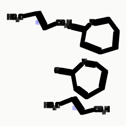 O=C(O)/C=C/C(=O)O.O=C(O)/C=C/C(=O)O.O=c1cccccn1.O=c1cccccn1